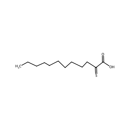 CCCCCCCCCCC(=S)C(=O)O